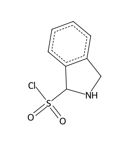 O=S(=O)(Cl)C1NCc2ccccc21